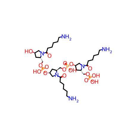 NCCCCCC(=O)N1C[C@H](O)C[C@H]1COP(=O)(O)O[C@@H]1C[C@@H](COP(=O)(O)O[C@@H]2C[C@@H](COP(=O)(O)O)N(C(=O)CCCCCN)C2)N(C(=O)CCCCCN)C1